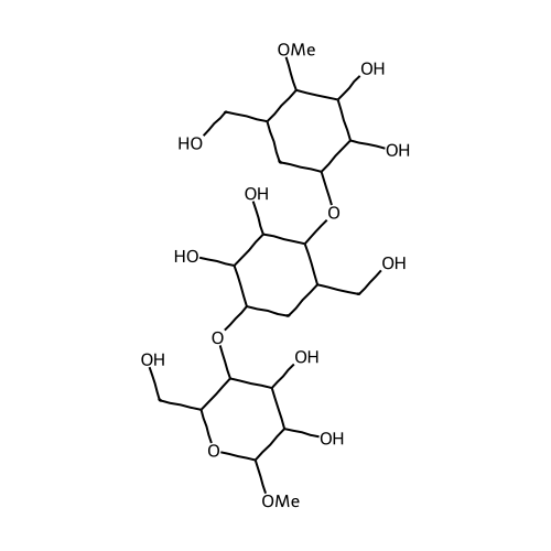 COC1OC(CO)C(OC2CC(CO)C(OC3CC(CO)C(OC)C(O)C3O)C(O)C2O)C(O)C1O